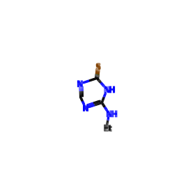 CCNc1ncnc(=S)[nH]1